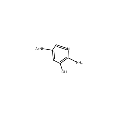 CC(=O)Nc1cnc(N)c(O)c1